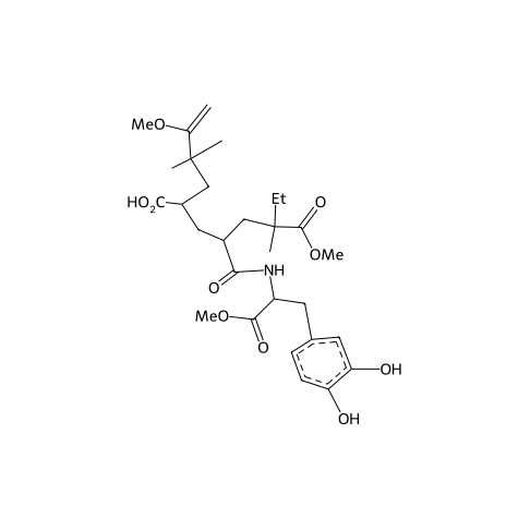 C=C(OC)C(C)(C)CC(CC(CC(C)(CC)C(=O)OC)C(=O)NC(Cc1ccc(O)c(O)c1)C(=O)OC)C(=O)O